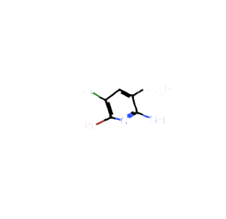 Nc1nc(Br)c(Cl)cc1C(=O)O